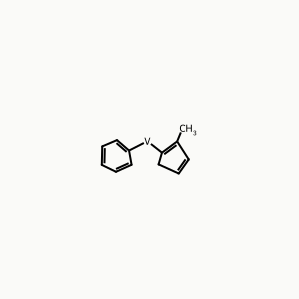 CC1=[C]([V][c]2ccccc2)CC=C1